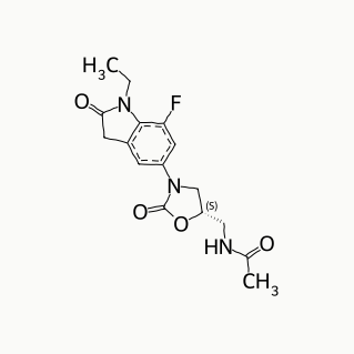 CCN1C(=O)Cc2cc(N3C[C@H](CNC(C)=O)OC3=O)cc(F)c21